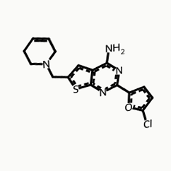 Nc1nc(-c2ccc(Cl)o2)nc2sc(CN3CC=CCC3)cc12